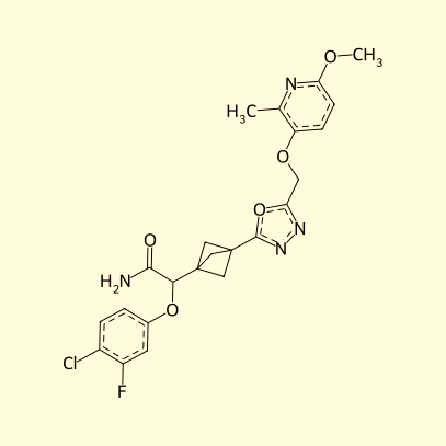 COc1ccc(OCc2nnc(C34CC(C(Oc5ccc(Cl)c(F)c5)C(N)=O)(C3)C4)o2)c(C)n1